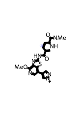 C=C(/C=C\C(=N)C(=O)NC)C(=O)Nc1nc2c(OC)ncc(-c3cnn(C)c3)c2s1